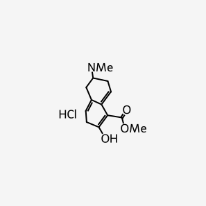 CNC1CC=C2C(=CCC(O)=C2C(=O)OC)C1.Cl